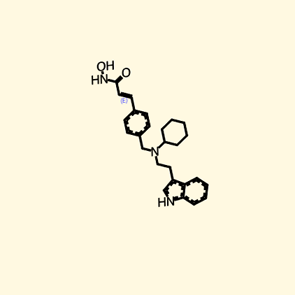 O=C(/C=C/c1ccc(CN(CCc2c[nH]c3ccccc23)C2CCCCC2)cc1)NO